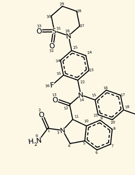 NC(=O)N1Cc2ccccc2C1C(=O)N(c1ccc(Cl)cc1)c1ccc(N2CCCCS2(=O)=O)cc1F